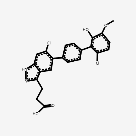 COc1ccc(Cl)c(-c2ccc(-c3cc4c(CCC(=O)O)n[nH]c4cc3Cl)cc2)c1O